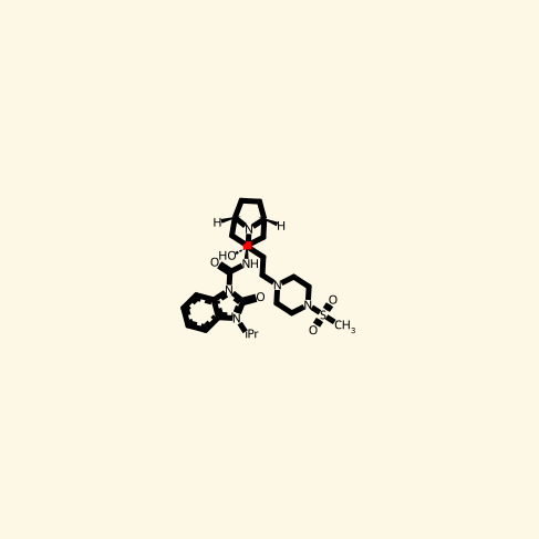 CC(C)n1c(=O)n(C(=O)N[C@@H]2C[C@H]3CC[C@@H](C2)N3[C@@H](O)CCN2CCN(S(C)(=O)=O)CC2)c2ccccc21